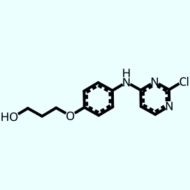 OCCCOc1ccc(Nc2ccnc(Cl)n2)cc1